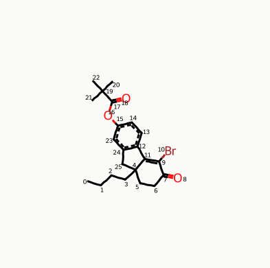 CCCCC12CCC(=O)C(Br)=C1c1ccc(OC(=O)C(C)(C)C)cc1C2